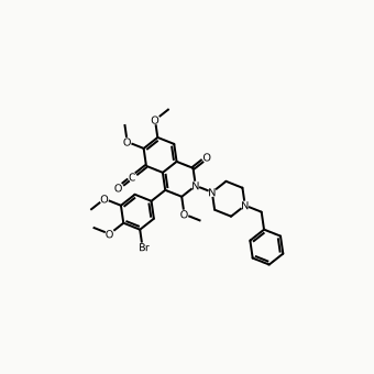 COc1cc(C2=c3c(cc(OC)c(OC)c3=C=O)C(=O)N(N3CCN(Cc4ccccc4)CC3)C2OC)cc(Br)c1OC